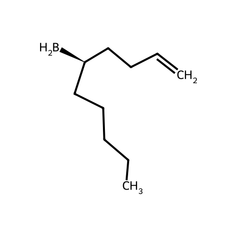 B[C@@H](CCC=C)CCCCC